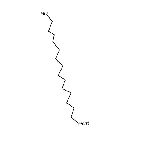 CCCC(C)CCCCCCCCCCCCCCO